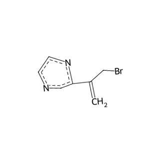 C=C(CBr)c1cnccn1